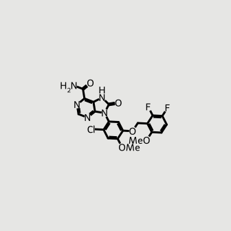 COc1cc(Cl)c(-n2c(=O)[nH]c3c(C(N)=O)ncnc32)cc1OCc1c(OC)ccc(F)c1F